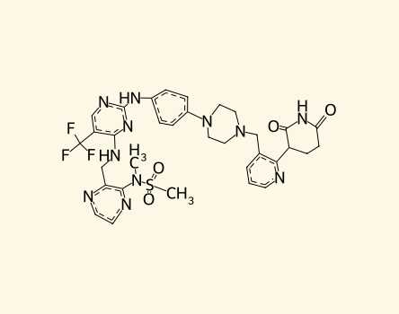 CN(c1nccnc1CNc1nc(Nc2ccc(N3CCN(Cc4cccnc4C4CCC(=O)NC4=O)CC3)cc2)ncc1C(F)(F)F)S(C)(=O)=O